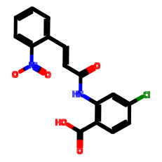 O=C(C=Cc1ccccc1[N+](=O)[O-])Nc1cc(Cl)ccc1C(=O)O